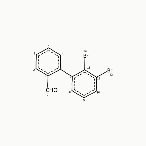 O=Cc1ccccc1-c1cccc(Br)c1Br